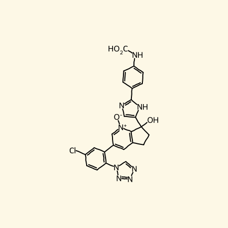 O=C(O)Nc1ccc(-c2ncc(C3(O)CCc4cc(-c5cc(Cl)ccc5-n5cnnn5)c[n+]([O-])c43)[nH]2)cc1